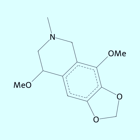 COc1c2c(cc3c1OCO3)C(OC)CN(C)C2